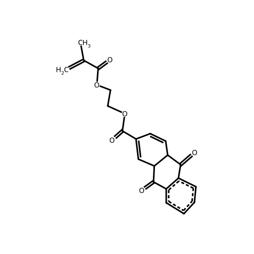 C=C(C)C(=O)OCCOC(=O)C1=CC2C(=O)c3ccccc3C(=O)C2C=C1